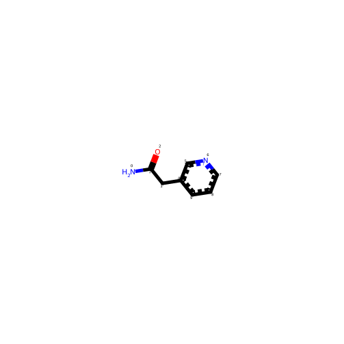 NC(=O)Cc1[c]nccc1